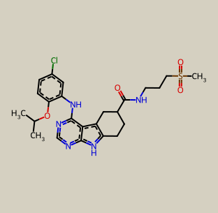 CC(C)Oc1ccc(Cl)cc1Nc1ncnc2[nH]c3c(c12)CC(C(=O)NCCCS(C)(=O)=O)CC3